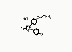 COc1ccc(-n2nc(OC)cc2-c2ccc(OCCN)cc2)cc1.Cl